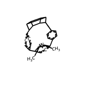 CN1CN(C)c2c3ccc(c21)-c1ccc(cc1)C1C2C4C(c5ccc-3cc5)C3C1C2C43